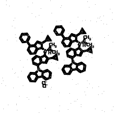 C[SiH](C)[Zr+]([CH]1C(C2CC2)=Cc2c(-c3ccccc3)cccc21)[CH]1C(C2CC2)=Cc2c1cccc2-n1c2ccccc2c2ccccc21.C[SiH](C)[Zr+]([CH]1C(C2CC2)=Cc2c(-c3ccccc3)cccc21)[CH]1C(C2CC2)=Cc2c1cccc2-n1c2ccccc2c2ccccc21.[Cl-].[Cl-]